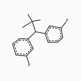 CC(C)(C)C(c1cccc(F)c1)c1cccc(F)c1